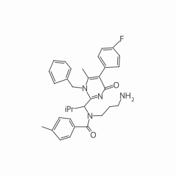 Cc1ccc(C(=O)N(CCCN)C(c2nc(=O)c(-c3ccc(F)cc3)c(C)n2Cc2ccccc2)C(C)C)cc1